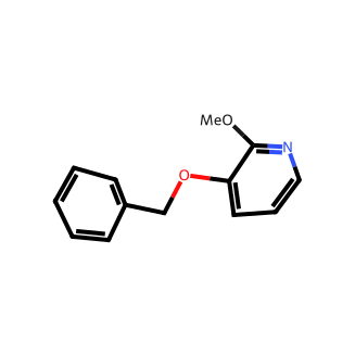 COc1ncccc1OCc1ccccc1